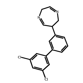 Clc1cc(Cl)cc(-c2cccc(C3C=NCC=NC3)c2)c1